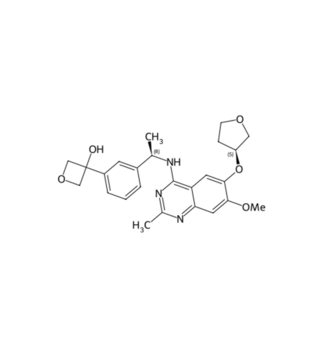 COc1cc2nc(C)nc(N[C@H](C)c3cccc(C4(O)COC4)c3)c2cc1O[C@H]1CCOC1